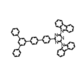 c1ccc(-c2cc(-c3ccccc3)cc(-c3ccc(-c4ccc(-c5nc(-n6c7ccccc7c7ccccc76)nc(-n6c7ccccc7c7ccccc76)n5)cc4)cc3)c2)cc1